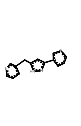 c1cncc(Cc2cc(-c3cccnc3)n[nH]2)c1